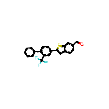 O=Cc1ccc2cc(-c3ccc(-c4ccccc4)c(C(F)(F)F)c3)sc2c1